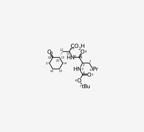 CC(C)CC(NC(=O)OC(C)(C)C)C(=O)NC(C[C@@H]1CCCCC1=O)C(=O)O